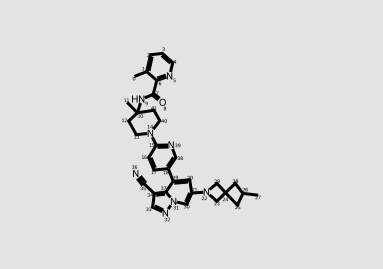 Cc1cccnc1C(=O)NC1(C)CCN(c2ccc(-c3cc(N4CC5(CC(C)C5)C4)cn4ncc(C#N)c34)cn2)CC1